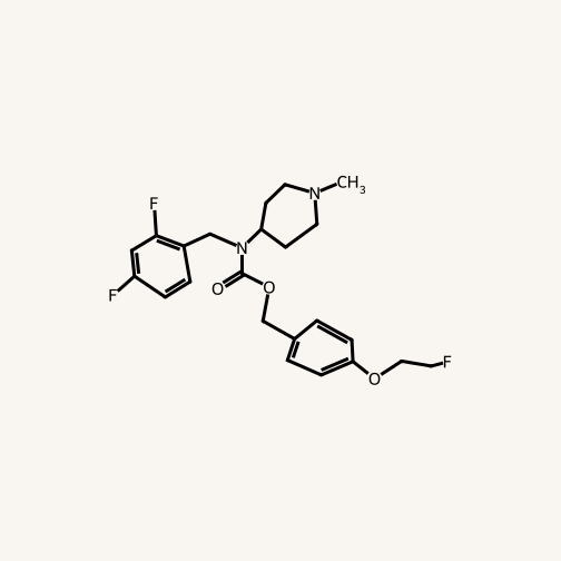 CN1CCC(N(Cc2ccc(F)cc2F)C(=O)OCc2ccc(OCCF)cc2)CC1